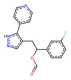 O=COC(Cc1cn[nH]c1-c1ccncc1)c1cccc(F)c1